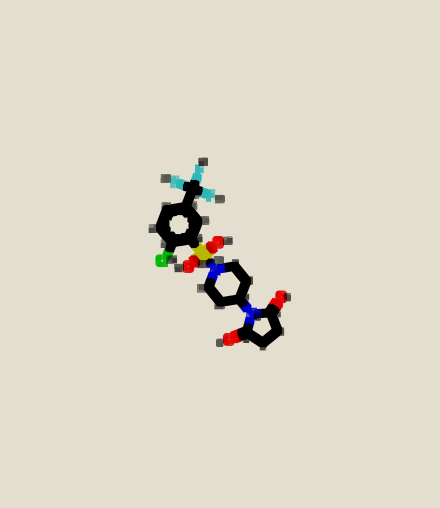 O=C1CCC(=O)N1C1CCN(S(=O)(=O)c2cc(C(F)(F)F)ccc2Cl)CC1